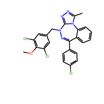 COc1c(Cl)cc(CN2N=C(c3ccc(Cl)cc3)c3ccccc3-n3c(C)nnc32)cc1Cl